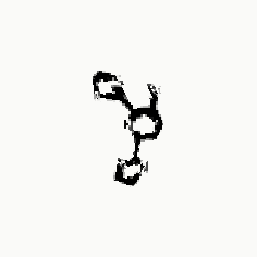 Brc1ccc(-c2nccs2)nc1-c1nccs1